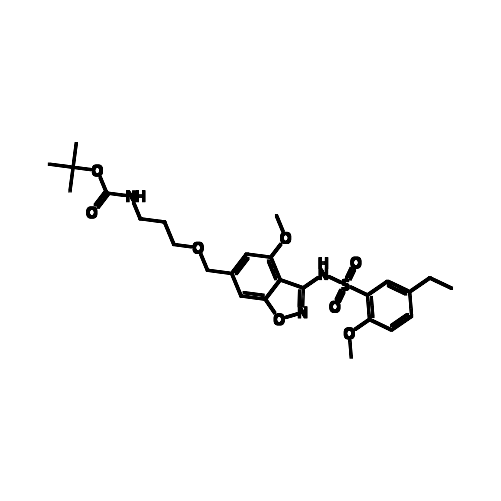 CCc1ccc(OC)c(S(=O)(=O)Nc2noc3cc(COCCCNC(=O)OC(C)(C)C)cc(OC)c23)c1